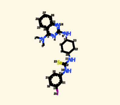 CN(C)c1nc(N[C@H]2CC[C@@H](NC(=S)Nc3cccc(I)c3)CC2)nc2ccccc12